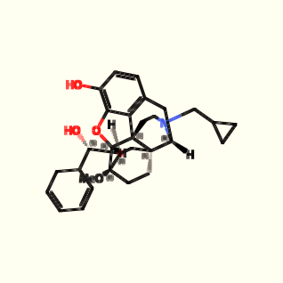 CO[C@]12CC[C@@]3(C[C@@H]1[C@@H](O)C1C=CC=CC1)[C@H]1Cc4ccc(O)c5c4[C@@]3(CCN1CC1CC1)[C@H]2O5